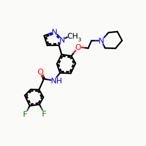 Cn1nccc1-c1cc(NC(=O)c2ccc(F)c(F)c2)ccc1OCCN1CCCCC1